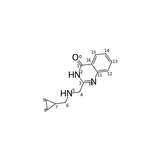 O=c1[nH]c(CNCC2CC2)nc2ccccc12